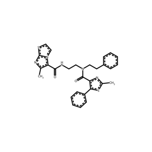 Cc1nc(C(=O)N(CCNC(=O)c2c(C)nc3sccn23)CCc2ccccc2)c(-c2ccccc2)s1